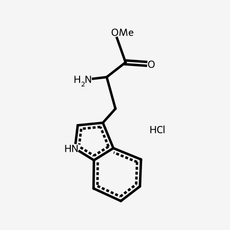 COC(=O)C(N)Cc1c[nH]c2ccccc12.Cl